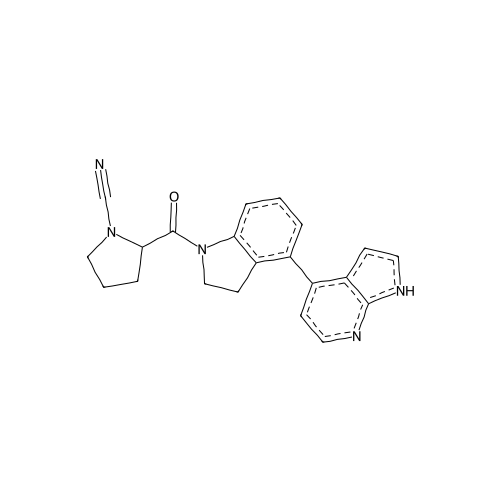 N#CN1CCCC1C(=O)N1CCc2c(-c3ccnc4[nH]ccc34)cccc21